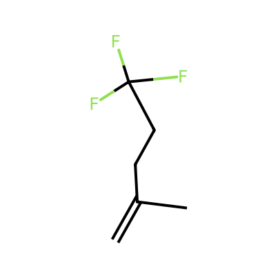 C=C(C)CCC(F)(F)F